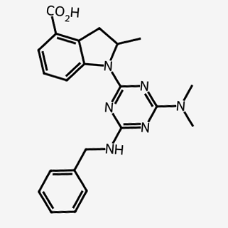 CC1Cc2c(C(=O)O)cccc2N1c1nc(NCc2ccccc2)nc(N(C)C)n1